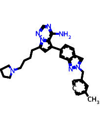 Cc1cccc(Cn2cc3ccc(-c4cc(CCCCN5CCCC5)n5ncnc(N)c45)cc3n2)c1